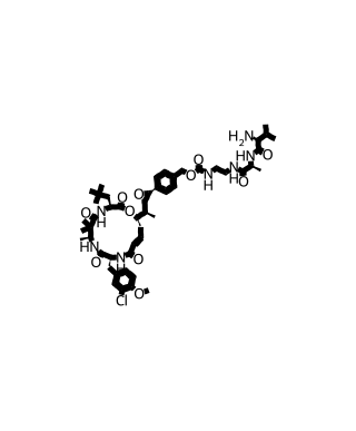 COc1ccc(C[C@H]2NC(=O)/C=C/C[C@@H]([C@H](C)[C@H]3O[C@@H]3c3ccc(COC(=O)NCCNC(=O)[C@H](C)NC(=O)[C@@H](N)C(C)C)cc3)OC(=O)[C@H](CC(C)(C)C)NC(=O)C(C)(C)[C@H](C)NC2=O)cc1Cl